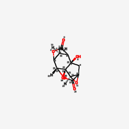 O=C1OC2[C@@H](C(=O)O)C1[C@]1(O)CC34O[C@H]3[C@]1(O)[C@@H]2OC4=O